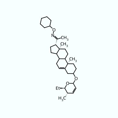 CC[C@H]1OC(OC2CC[C@@]3(C)C(=CCC4C3CC[C@@]3(C)C4CC[C@@H]3/C(C)=N/OC3CCCCC3)C2)C=C[C@@H]1C